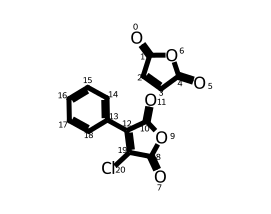 O=C1C=CC(=O)O1.O=C1OC(=O)C(c2ccccc2)=C1Cl